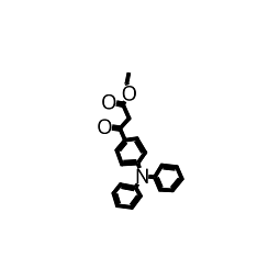 CCOC(=O)CC(=O)c1ccc(N(c2ccccc2)c2ccccc2)cc1